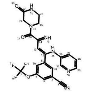 N#Cc1cc(OC(F)(F)F)cc(/C(=C/C(=N)C(=O)N2CCNC(=O)C2)Nc2cccnc2)c1